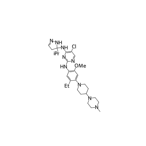 CCc1cc(Nc2ncc(Cl)c(NC3(C(C)C)CC=NN3)n2)c(OC)cc1N1CCC(N2CCN(C)CC2)CC1